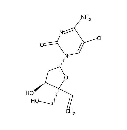 C=C[C@]1(CO)O[C@@H](n2cc(Cl)c(N)nc2=O)C[C@@H]1O